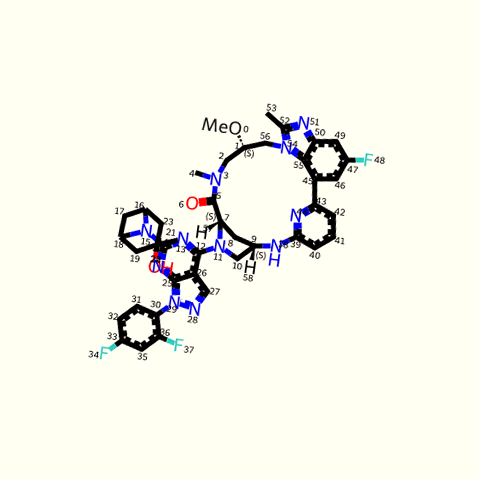 CO[C@H]1CN(C)C(=O)[C@@H]2C[C@@H](CN2c2nc(N3C4CC3CC(C)(O)C4)nc3c2cnn3-c2ccc(F)cc2F)Nc2cccc(n2)-c2cc(F)cc3nc(C)n(c23)C1